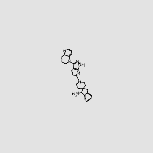 NC1c2ccccc2CC12CCN(c1cnc3c(N4CCCc5ncccc54)n[nH]c3n1)CC2